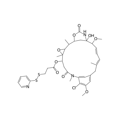 COc1cc2cc(c1Cl)N(C)C(=O)CC(OC(=O)CCSSc1ccccn1)C1(C)OC1C(C)C1CC(O)(NC(=O)O1)C(OC)/C=C/C=C(\C)C2